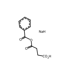 O=C(O)CCC(=O)OC(=O)c1ccccc1.[NaH]